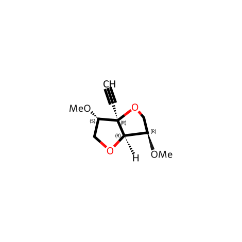 C#C[C@]12OC[C@@H](OC)[C@H]1OC[C@@H]2OC